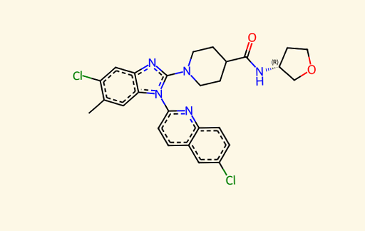 Cc1cc2c(cc1Cl)nc(N1CCC(C(=O)N[C@@H]3CCOC3)CC1)n2-c1ccc2cc(Cl)ccc2n1